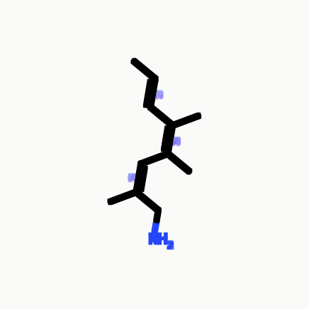 C/C=C/C(C)=C(C)\C=C(\C)CN